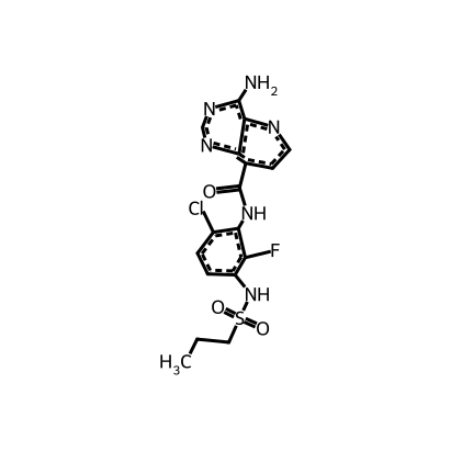 CCCS(=O)(=O)Nc1ccc(Cl)c(NC(=O)c2ccnc3c(N)ncnc23)c1F